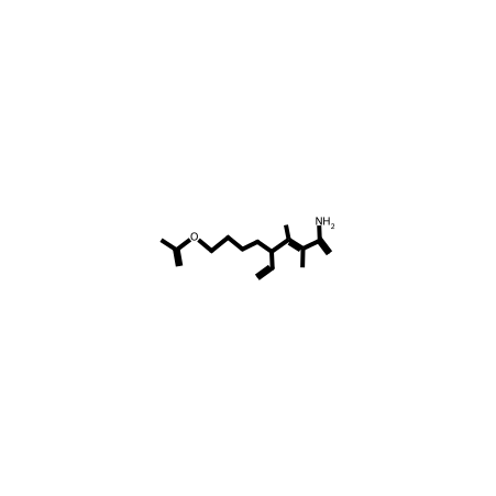 C=CC(CCCCOC(=C)C)/C(C)=C(\C)C(=C)N